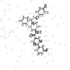 Cc1cc(OCC(c2ccccc2)N2CCC(NC(=O)c3cnc(-c4cccc(F)c4)nc3)CC2)ccc1F